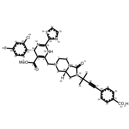 COC(=O)C1=C(CN2CCN3C(=O)N(C(C)(C)C#Cc4ccc(C(=O)O)cc4)C[C@@H]3C2)NC(c2nccs2)=N[C@H]1c1ccc(F)cc1Cl